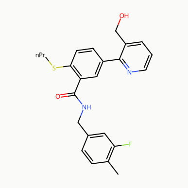 CCCSc1ccc(-c2ncccc2CO)cc1C(=O)NCc1ccc(C)c(F)c1